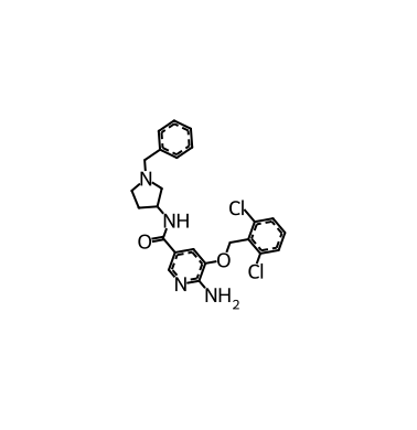 Nc1ncc(C(=O)NC2CCN(Cc3ccccc3)C2)cc1OCc1c(Cl)cccc1Cl